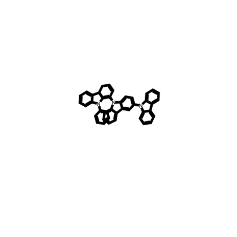 C1=CC(n2c3ccccc3c3cc(-n4c5ccccc5c5ccccc54)ccc32)=C2C(C1)c1ccccc1N2c1ccccc1